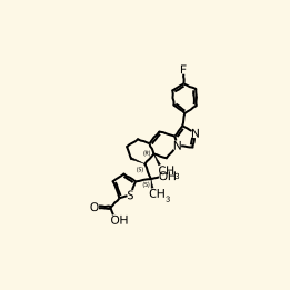 C[C@]12Cn3cnc(-c4ccc(F)cc4)c3C=C1CCC[C@@H]2[C@](C)(O)c1ccc(C(=O)O)s1